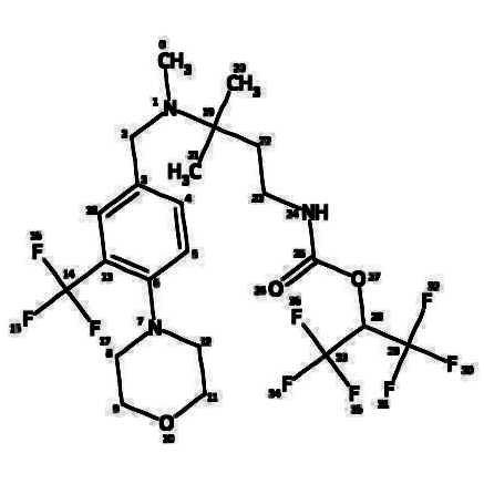 CN(Cc1ccc(N2CCOCC2)c(C(F)(F)F)c1)C(C)(C)CCNC(=O)OC(C(F)(F)F)C(F)(F)F